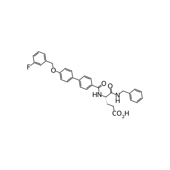 O=C(O)CC[C@H](NC(=O)c1ccc(-c2ccc(OCc3cccc(F)c3)cc2)cc1)C(=O)NCc1ccccc1